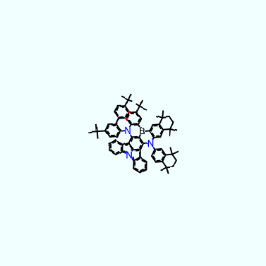 CC(C)(C)c1ccc(-c2cc(C(C)(C)C)ccc2N2c3ccc(C(C)(C)C)cc3B3c4cc5c(cc4N(c4ccc6c(c4)C(C)(C)CCC6(C)C)c4c3c2c2c3ccccc3n3c6ccccc6c4c23)C(C)(C)CCC5(C)C)cc1